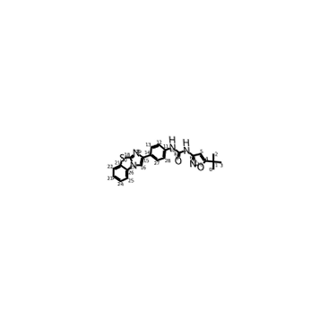 CC(C)(C)c1cc(NC(=O)Nc2ccc(-c3cn4c(n3)sc3c[c]ccc34)cc2)no1